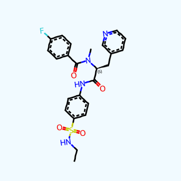 CCNS(=O)(=O)c1ccc(NC(=O)[C@H](Cc2cccnc2)N(C)C(=O)c2ccc(F)cc2)cc1